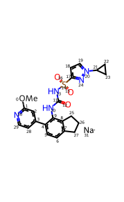 COc1cc(-c2ccc3c(c2NC(=O)NS(=O)(=O)c2ccn(C4CC4)n2)CCC3)ccn1.[Na]